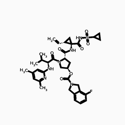 C=C[C@@H]1C[C@]1(NC(=O)[C@@H]1C[C@@H](OC(=O)N2Cc3cccc(F)c3C2)CN1C(=O)[C@@H](Nc1cc(C)cc(C)n1)C(C)C)C(=O)NS(=O)(=O)C1CC1